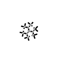 C[Si](C)(C)[N]([Sb]([N]([Si](C)(C)C)[Si](C)(C)C)[N]([Si](C)(C)C)[Si](C)(C)C)[Si](C)(C)C